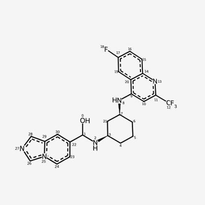 OC(N[C@@H]1CCC[C@H](Nc2cc(C(F)(F)F)nc3ccc(F)cc23)C1)c1ccn2cncc2c1